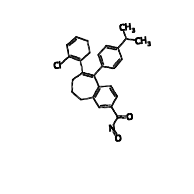 CC(C)c1ccc(C2=C(C3=C(Cl)C=CCC3)CCCc3cc(C(=O)N=O)ccc32)cc1